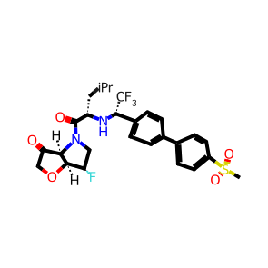 CC(C)C[C@H](N[C@@H](c1ccc(-c2ccc(S(C)(=O)=O)cc2)cc1)C(F)(F)F)C(=O)N1C[C@H](F)[C@H]2OCC(=O)[C@H]21